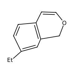 CCc1ccc2c(c1)COC=C2